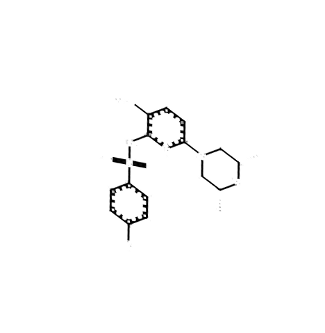 COc1ccc(N2C[C@@H](C)N[C@@H](C)C2)nc1NS(=O)(=O)c1ccc(Br)cc1